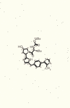 Cc1ncsc1-c1ccc(Cc2cnc(C3C[C@@H](O)CN3C(=O)[C@@H](NC(=O)OC(C)(C)C)C(C)(C)C)[nH]2)cc1